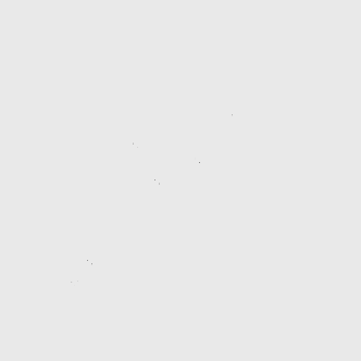 COC(=O)Nc1ccc(-c2c[nH]c(C3NCC(N4CCC(C)CC4)CC3c3ccc(F)cc3)n2)cc1